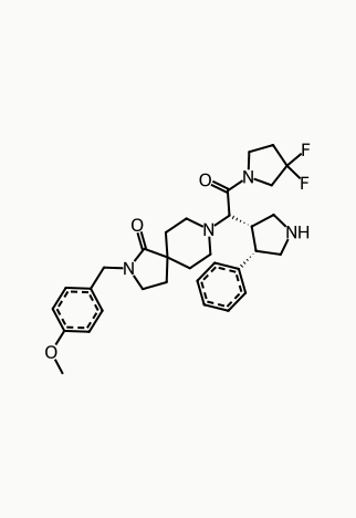 COc1ccc(CN2CCC3(CCN(C(C(=O)N4CCC(F)(F)C4)[C@@H]4CNC[C@@H]4c4ccccc4)CC3)C2=O)cc1